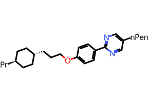 CCCCCc1cnc(-c2ccc(OCCC[C@H]3CC[C@H](CCC)CC3)cc2)nc1